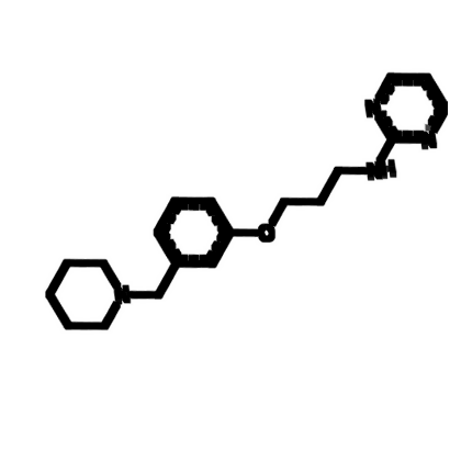 c1cnc(NCCCOc2cccc(CN3CCCCC3)c2)nc1